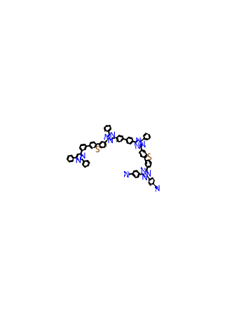 N#Cc1ccc(-c2nc(-c3ccc(C#N)cc3)nc(-c3ccc4sc5cc(-c6nc(-c7ccccc7)nc(-c7ccc(-c8ccc(-c9nc(-c%10ccccc%10)nc(-c%10ccc%11sc%12cc(-c%13cccc(-c%14cc(-c%15ccccc%15)nc(-c%15ccccc%15)n%14)c%13)ccc%12c%11c%10)n9)cc8)cc7)n6)ccc5c4c3)n2)cc1